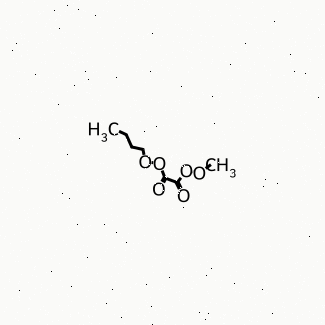 CCCCOOC(=O)C(=O)OOC